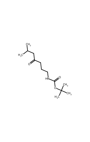 CC(C)CC(=O)CCCNC(=O)OC(C)(C)C